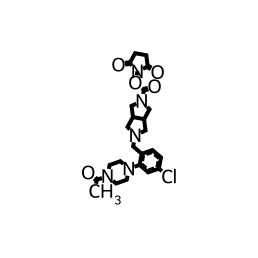 CC(=O)N1CCN(c2cc(Cl)ccc2CN2CC3CN(C(=O)ON4C(=O)CCC4=O)CC3C2)CC1